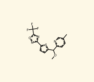 COC(c1ccc(C)cn1)c1ccc(-c2noc(C(F)(F)F)n2)s1